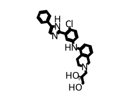 OC[C@H](O)CN1CCc2c(cccc2Nc2ccc(Cl)c(-c3ncc(-c4ccccc4)[nH]3)c2)C1